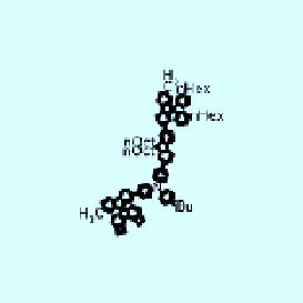 CCCCCCCCC1(CCCCCCCC)c2cc(-c3ccc(N(c4ccc(-c5ccc6c(c5)C(c5ccc7c(c5)CC7)(c5ccc7c(c5)CC7)c5cc(C)ccc5-6)cc4)c4ccc(C(C)CC)cc4)cc3)ccc2-c2ccc(-c3ccc4c(c3)C(c3cccc(CCCCCC)c3)(c3cccc(CCCCCC)c3)c3cc(C)ccc3-4)cc21